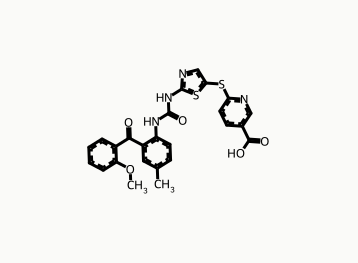 COc1ccccc1C(=O)c1cc(C)ccc1NC(=O)Nc1ncc(Sc2ccc(C(=O)O)cn2)s1